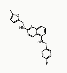 Cc1ccc(CNc2ccc3c(NCc4ccc(F)cc4)cccc3n2)o1